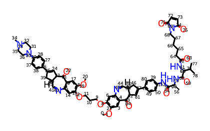 COc1cc2c(cc1OCCCOc1cc3c(cc1OC)C(=O)C1C=C(c4ccc(N5CCN(C)CC5)cc4)C[C@H]1C=N3)N=C[C@@H]1CC(c3ccc(NC(=O)[C@H](C)NC(=O)[C@@H](NC(=O)CCCCCN4C(=O)C=CC4=O)C(C)C)cc3)=CC1C2=O